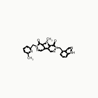 Cc1cccc(Cn2ncc3c4cnn(Cc5cccc6[nH]ncc56)c(=O)c4n(C)c3c2=O)n1